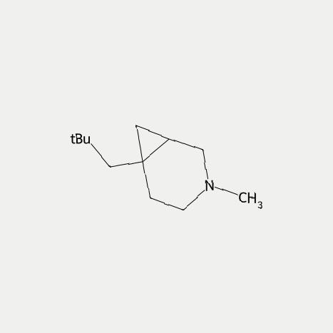 CN1CCC2(CC(C)(C)C)CC2C1